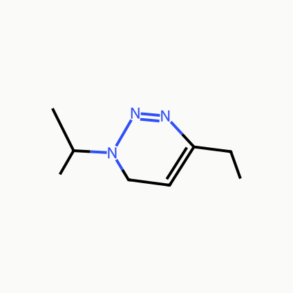 CCC1=CCN(C(C)C)N=N1